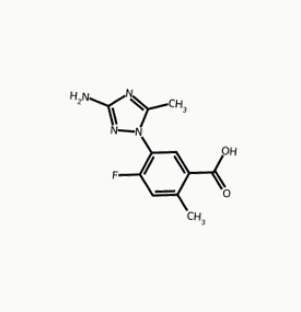 Cc1cc(F)c(-n2nc(N)nc2C)cc1C(=O)O